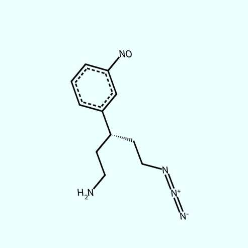 [N-]=[N+]=NCC[C@H](CCN)c1cccc(N=O)c1